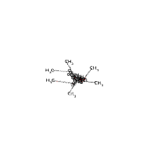 CCCCCCCCCCCCCCCCCC(=O)O[C@H](CCCCCCCCCCC)CC(=O)N[C@@H]1[C@H](OC[C@H]2O[C@H](OCc3ccccc3)[C@@H](NC(=O)C[C@@H](CCCCCCCCCCC)OC(=O)CCCCCCCCCCCCCCC)[C@@H](O)[C@@H]2O)O[C@H](CO)[C@@H](OP(=O)(Oc2ccccc2)Oc2ccccc2)[C@@H]1OC(=O)C[C@@H](CCCCCCCCCCC)OC(=O)CCCCCCCCCCCCC